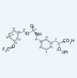 CC(C)OC(Cc1cccc(CNC(=O)OCc2cccc(OC(F)(F)F)c2)c1)C(=O)O